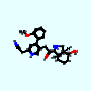 COc1ccccc1-c1cc(CC#N)ncc1CC(=O)C1NC[C@H]2[C@@H](O)CCC[C@@H]12